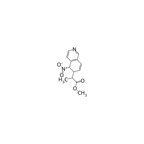 COC(=O)C(C)C1C=Cc2cnccc2C1[N+](=O)[O-]